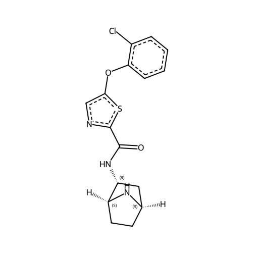 O=C(N[C@@H]1C[C@H]2CC[C@@H]1N2)c1ncc(Oc2ccccc2Cl)s1